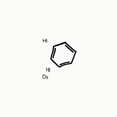 I.I.[Os].c1ccccc1